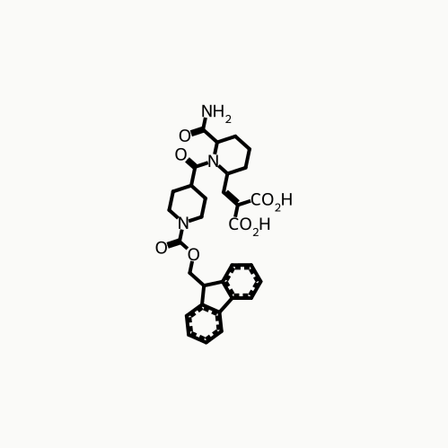 NC(=O)C1CCCC(C=C(C(=O)O)C(=O)O)N1C(=O)C1CCN(C(=O)OCC2c3ccccc3-c3ccccc32)CC1